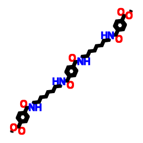 COC(=O)c1ccc(C(=O)NCCCCCCCCNC(=O)c2ccc(C(=O)NCCCCCCCCNC(=O)c3ccc(C(=O)OC)cc3)cc2)cc1